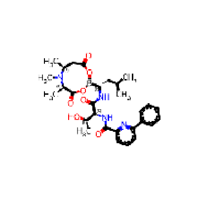 CC(C)C[C@H](NC(=O)[C@@H](NC(=O)c1cccc(-c2ccccc2)n1)[C@@H](C)O)B1OC(=O)C[C@H](C)N(C)[C@H](C)C(=O)O1